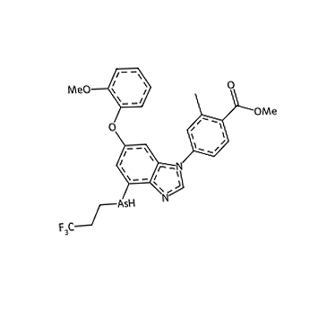 COC(=O)c1ccc(-n2cnc3c([AsH]CCC(F)(F)F)cc(Oc4ccccc4OC)cc32)cc1C